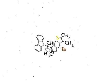 CC1=C(C(C)(C)C2c3ccccc3-c3ccccc32)C2=CC3SC(C)=C(C)C3=C(Br)C2=C1